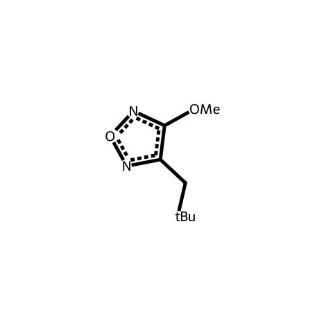 COc1nonc1CC(C)(C)C